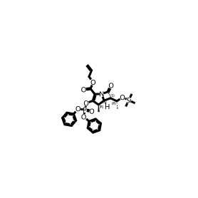 C=CCOC(=O)C1=C(OP(=O)(Oc2ccccc2)Oc2ccccc2)[C@H](C)[C@@H]2[C@@H]([C@@H](C)O[Si](C)(C)C)C(=O)N12